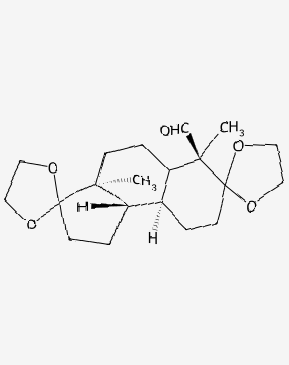 C[C@]12CCC3[C@@H](CCC4(OCCO4)[C@]3(C)C=O)[C@@H]1CCC21OCCO1